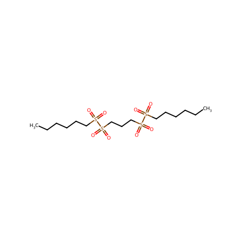 CCCCCCS(=O)(=O)S(=O)(=O)CCCS(=O)(=O)S(=O)(=O)CCCCCC